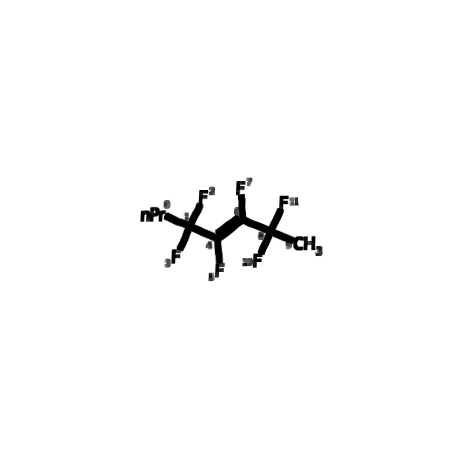 CCCC(F)(F)/C(F)=C(\F)C(C)(F)F